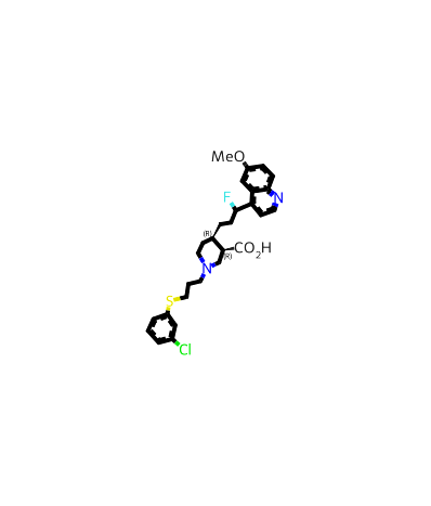 COc1ccc2nccc(C(F)CC[C@@H]3CCN(CCCSc4cccc(Cl)c4)C[C@@H]3C(=O)O)c2c1